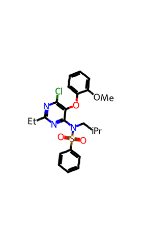 CCc1nc(Cl)c(Oc2ccccc2OC)c(N(CC(C)C)S(=O)(=O)c2ccccc2)n1